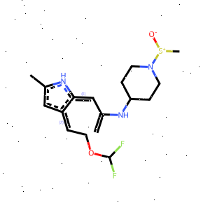 C=C(/C=c1/[nH]c(C)c/c1=C/COC(F)F)NC1CCN([S+](C)[O-])CC1